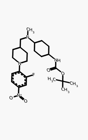 CN(CC1CCN(c2ccc([N+](=O)[O-])cc2F)CC1)C1CCC(NC(=O)OC(C)(C)C)CC1